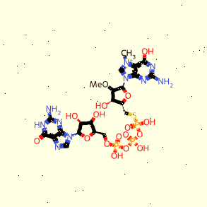 COC1[C@@H](O)[C@@H](CSP(=O)(O)OP(=O)(O)OP(=O)(O)OC[C@H]2O[C@@H](n3cnc4c(=O)[nH]c(N)nc43)[C@@H](O)C2O)O[C@H]1n1c[n+](C)c2c(O)nc(N)nc21